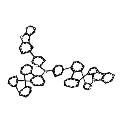 c1ccc2c(c1)-c1ccccc1C21c2ccccc2-c2c(N(c3ccc(-c4ccc5oc6ccccc6c5c4)cc3)c3ccc(-c4cccc5c4-c4ccccc4C54c5ccccc5-n5c6ccccc6c6cccc4c65)cc3)cccc21